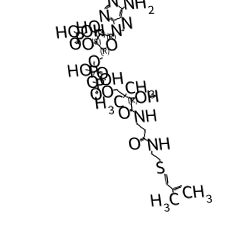 CC=C(C)C=CSCCNC(=O)CCNC(=O)[C@H](O)C(C)(C)COP(=O)(O)OP(=O)(O)OC[C@H]1O[C@@H](n2cnc3c(N)ncnc32)[C@H](O)[C@@H]1OP(=O)(O)O